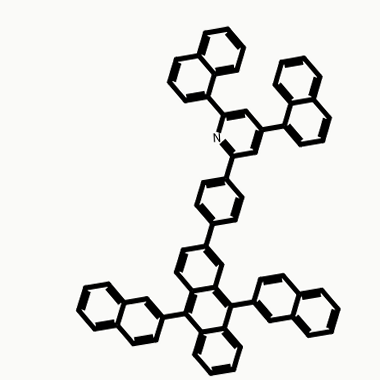 c1ccc2cc(-c3c4ccccc4c(-c4ccc5ccccc5c4)c4cc(-c5ccc(-c6cc(-c7cccc8ccccc78)cc(-c7cccc8ccccc78)n6)cc5)ccc34)ccc2c1